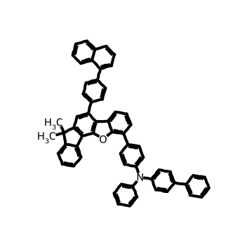 CC1(C)c2ccccc2-c2c1cc(-c1ccc(-c3cccc4ccccc34)cc1)c1c2oc2c(-c3ccc(N(c4ccccc4)c4ccc(-c5ccccc5)cc4)cc3)cccc21